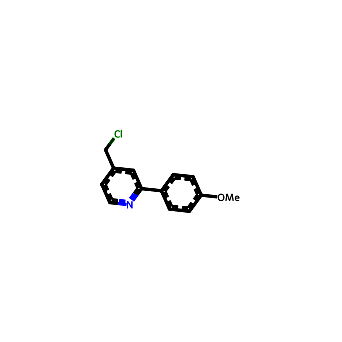 COc1ccc(-c2cc(CCl)ccn2)cc1